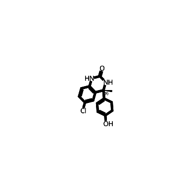 C[C@]1(C2=CC=C(O)CC2)NC(=O)Nc2ccc(Cl)cc21